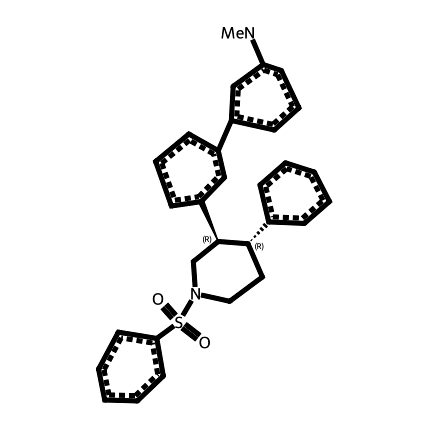 CNc1cccc(-c2cccc([C@@H]3CN(S(=O)(=O)c4ccccc4)CC[C@H]3c3ccccc3)c2)c1